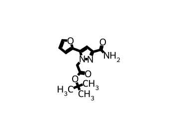 CC(C)(C)OC(=O)Cn1nc(C(N)=O)cc1-c1ccco1